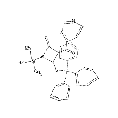 CC(C)(C)[Si](C)(C)N1C(=O)C(C(=O)c2ccncn2)C1SC(c1ccccc1)(c1ccccc1)c1ccccc1